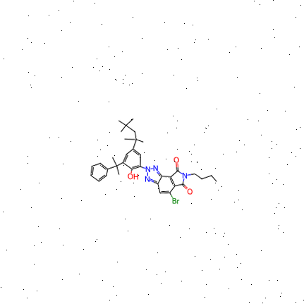 CCCCN1C(=O)c2c(Br)cc3nn(-c4cc(C(C)(C)CC(C)(C)C)cc(C(C)(C)c5ccccc5)c4O)nc3c2C1=O